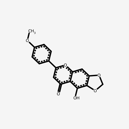 COc1ccc(-c2cc(=O)c3c(O)c4c(cc3o2)OCO4)cc1